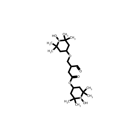 CC1(C)CC(OCC(C=O)CC(=O)OC2CC(C)(C)N(O)C(C)(C)C2)CC(C)(C)N1O